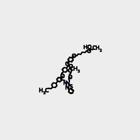 C=CC(O)OCCCCCCOc1ccc(OC(=O)C2CCC(COc3ccc(C4CCC(CCC)CC4)cc3/C=N/N(CCOCCOC)c3nc4ccccc4s3)CC2)cc1